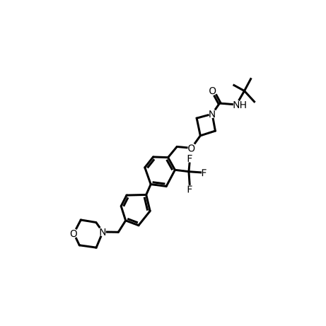 CC(C)(C)NC(=O)N1CC(OCc2ccc(-c3ccc(CN4CCOCC4)cc3)cc2C(F)(F)F)C1